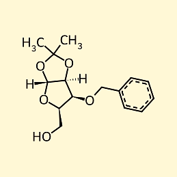 CC1(C)O[C@H]2O[C@H](CO)[C@H](OCc3ccccc3)[C@@H]2O1